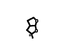 C[C@H]1CC2CCOC2O1